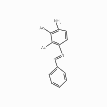 CC(=O)c1c(N)ccc(N=Nc2ccccc2)c1C(C)=O